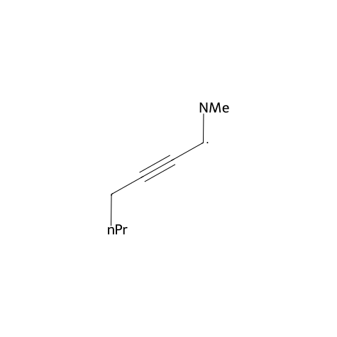 CCCCC#C[CH]NC